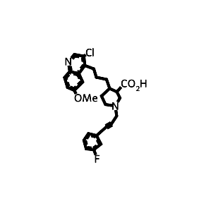 COc1ccc2ncc(Cl)c(CCCC3CCN(CC#Cc4cccc(F)c4)CC3C(=O)O)c2c1